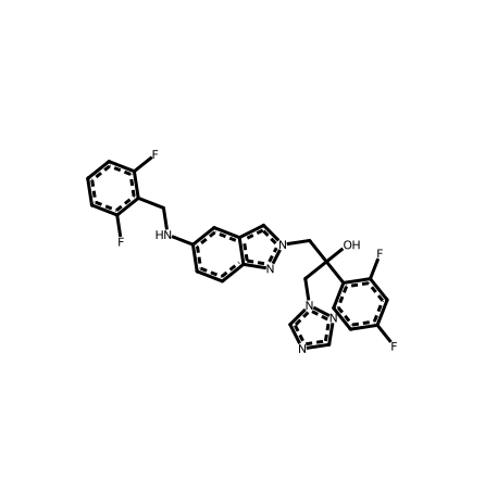 OC(Cn1cncn1)(Cn1cc2cc(NCc3c(F)cccc3F)ccc2n1)c1ccc(F)cc1F